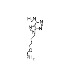 Nc1ncnc2c1ncn2CCCCOCP